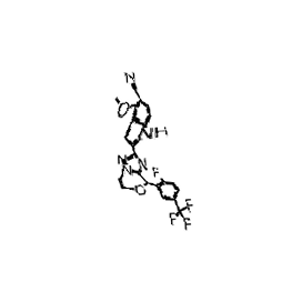 COc1c(C#N)ccc2[nH]c(-c3nc4n(n3)CCOC4c3cc(C(F)(F)F)ccc3F)cc12